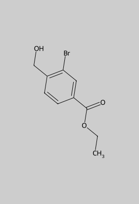 CCOC(=O)c1ccc(CO)c(Br)c1